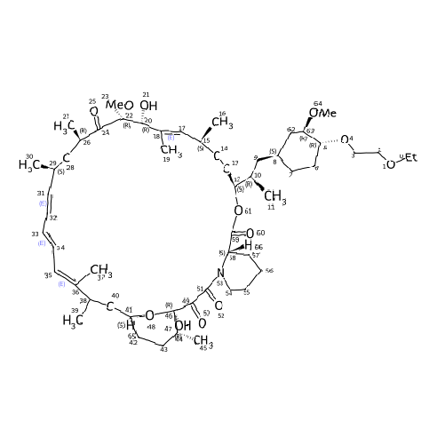 CCOCCO[C@@H]1CC[C@@H](C[C@@H](C)[C@@H]2CC[C@H](C)/C=C(\C)[C@@H](O)[C@@H](OC)C(=O)[C@H](C)C[C@H](C)/C=C/C=C/C=C(\C)C(C)C[C@@H]3CC[C@@H](C)[C@@](O)(O3)C(=O)C(=O)N3CCCC[C@H]3C(=O)O2)C[C@H]1OC